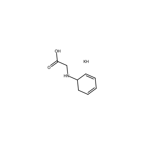 O=C(O)CNC1C=CC=CC1.[KH]